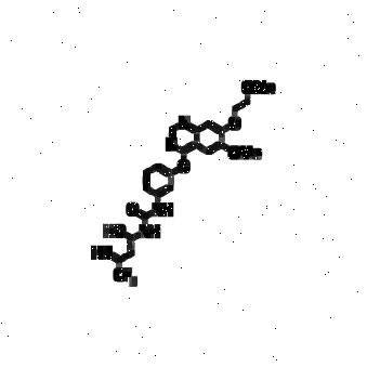 COCCOc1cc2ncnc(Oc3cccc(NC(=O)N/C(O)=C/C(=N)C(F)(F)F)c3)c2cc1OC